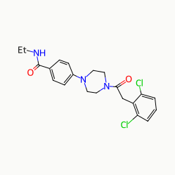 CCNC(=O)c1ccc(N2CCN(C(=O)Cc3c(Cl)cccc3Cl)CC2)cc1